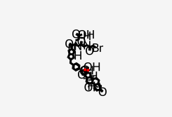 C[C@]12C=CC(=O)C=C1CC[C@@H]1[C@@H]2[C@@H](O)C[C@@]2(C)[C@H]1C[C@H]1O[C@@H](c3ccc(CC4CC5CN(C(=O)[C@H](CCC(=O)O)NC(=O)CNC(=O)CBr)CC5C4)cc3)O[C@]12C(=O)CO